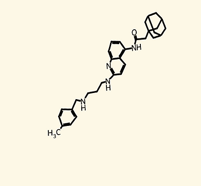 Cc1ccc(CNCCCNc2ccc3c(NC(=O)CC45CC6CC(CC(C6)C4)C5)cccc3n2)cc1